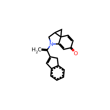 C=C(C1=Cc2ccccc2C1)N1CC2CC23C=CC(=O)C=C13